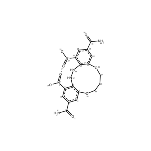 NC(=O)c1cc2c(c([N+](=O)[O-])c1)NNc1c(cc(C(N)=O)cc1[N+](=O)[O-])OCCCO2